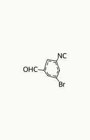 [C-]#[N+]c1cc(Br)cc(C=O)c1